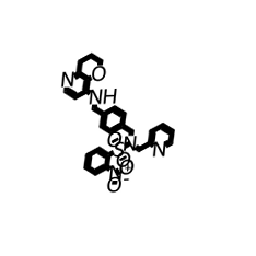 O=[N+]([O-])c1ccccc1S(=O)(=O)N(Cc1ccc(CNc2ccnc3c2OCCC3)cc1)Cc1ccccn1